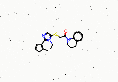 CCn1c(SCC(=O)N2CCCc3ccccc32)cnc1C1=C(C)CC=C1